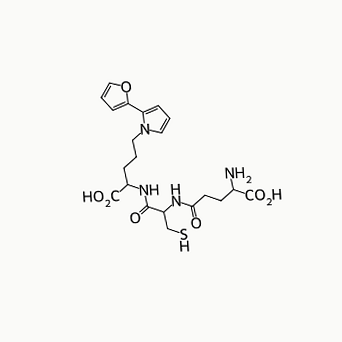 NC(CCC(=O)NC(CS)C(=O)NC(CCCn1cccc1-c1ccco1)C(=O)O)C(=O)O